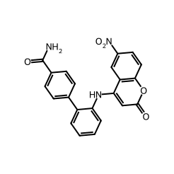 NC(=O)c1ccc(-c2ccccc2Nc2cc(=O)oc3ccc([N+](=O)[O-])cc23)cc1